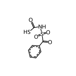 O=C(S)NS(=O)(=O)C(=O)c1ccccc1